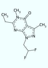 CCc1nc2c(c(C)nn2CC(F)F)c(=O)n1C